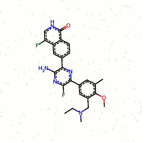 CCN(C)Cc1cc(-c2nc(-c3ccc4c(=O)[nH]cc(F)c4c3)c(N)nc2F)cc(C)c1OC